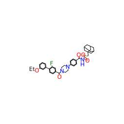 CCOc1cccc(-c2ccc(C(=O)N3CCN(c4ccc(C(=O)NS(=O)(=O)CC56CC7CC(CC(C7)C5)C6)cc4)CC3)cc2F)c1